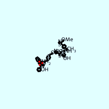 COCc1ncsc1-c1ccc([C@H](C)NC(=O)[C@@H]2C[C@@H](O)CN2C(=O)C(c2cc(OCCN3CCN(CCOc4cc(N5C6CCC5CN(c5cc(-c7ccccc7O)nnc5N)C6)ccn4)CC3)no2)C(C)C)cc1